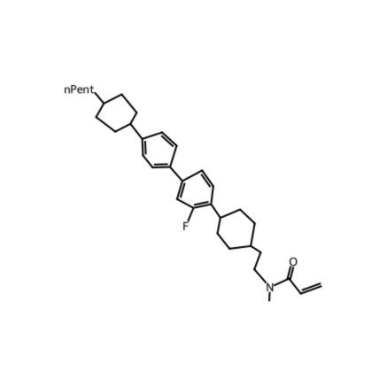 C=CC(=O)N(C)CCC1CCC(c2ccc(-c3ccc(C4CCC(CCCCC)CC4)cc3)cc2F)CC1